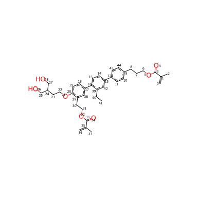 C=C(C)C(=O)OCCCc1ccc(-c2ccc(-c3ccc(OCCC(CO)CO)c(CCOC(=O)C(=C)C)c3)c(CC)c2)cc1